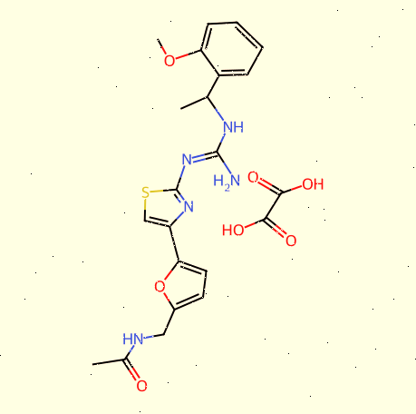 COc1ccccc1C(C)NC(N)=Nc1nc(-c2ccc(CNC(C)=O)o2)cs1.O=C(O)C(=O)O